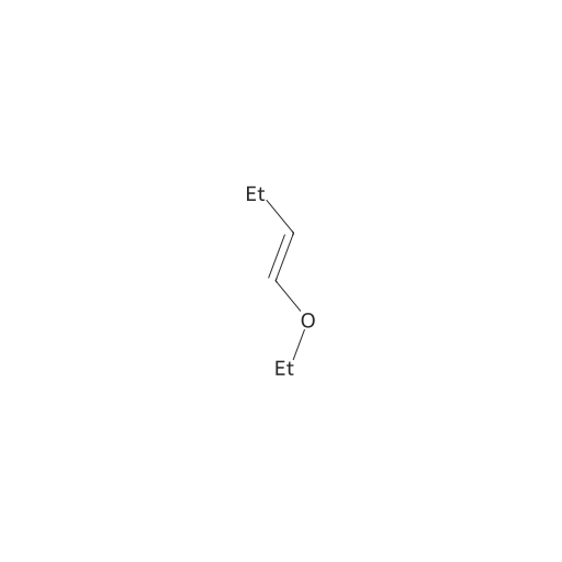 CC/C=C/OCC